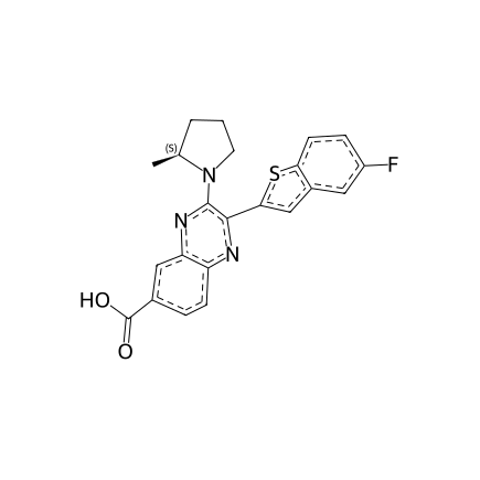 C[C@H]1CCCN1c1nc2cc(C(=O)O)ccc2nc1-c1cc2cc(F)ccc2s1